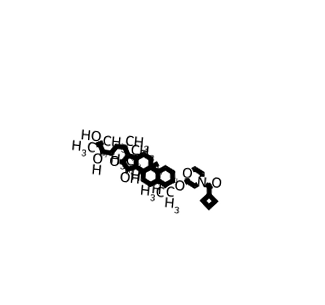 C[C@@H]1CC([C@H](O)C(C)(C)O)OC2C1[C@@]1(C)CCC34C[C@@]35CC[C@H](OC3CN(C(=O)C6CCC6)CCO3)C(C)(C)[C@@H]5CC[C@H]4[C@]1(C)[C@H]2O